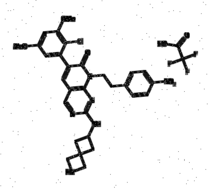 COc1cc(OC)c(Cl)c(-c2cc3cnc(NC4CC5(CNC5)C4)nc3n(CCc3ccc([N+](=O)[O-])cc3)c2=O)c1.O=C(O)C(F)(F)F